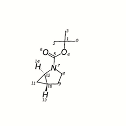 CC(C)(C)OC(=O)N1CC[C@@H]2C[C@H]21